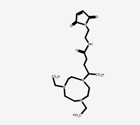 O=C(O)CN1CCN(CC(=O)O)CCN(C(CCC(=O)NCCN2C(=O)C=CC2=O)C(=O)O)CC1